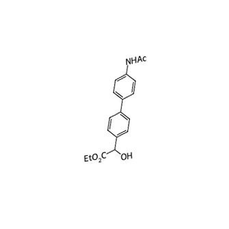 CCOC(=O)C(O)c1ccc(-c2ccc(NC(C)=O)cc2)cc1